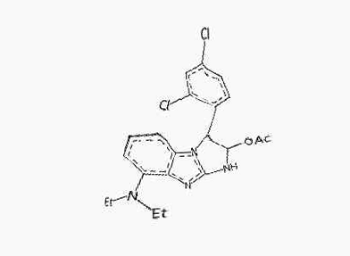 CCN(CC)c1cccc2c1nc1n2C(c2ccc(Cl)cc2Cl)C(OC(C)=O)N1